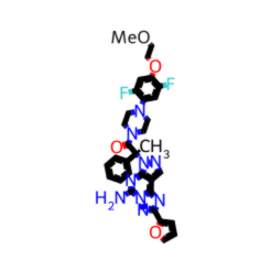 COCCOc1cc(F)c(N2CCN(C(=O)[C@@](C)(c3ccccc3)n3ncc4c3nc(N)n3nc(-c5ccco5)nc43)CC2)cc1F